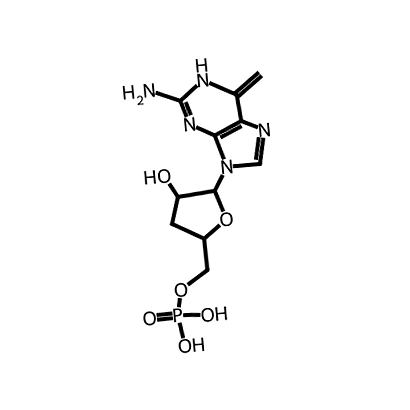 C=C1NC(N)=Nc2c1ncn2C1OC(COP(=O)(O)O)CC1O